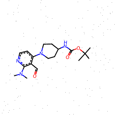 CN(C)c1nccc(N2CCC(NC(=O)OC(C)(C)C)CC2)c1C=O